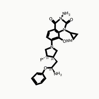 COc1c(N2C[C@@H](C[C@@H](N)Oc3ccccc3)[C@H](F)C2)ccc2c(=O)n(N)c(=O)n(C3CC3)c12